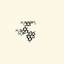 COc1cc(Cc2cnc(N)nc2N)cc(/C=C/C(=O)N2N=Cc3ccccc3C2C2CCCC2=O)c1OC